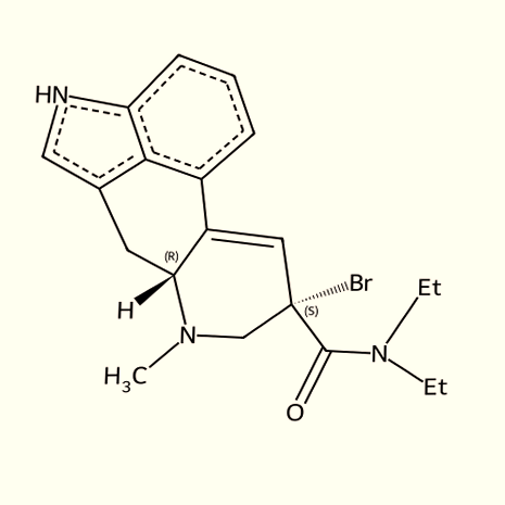 CCN(CC)C(=O)[C@]1(Br)C=C2c3cccc4[nH]cc(c34)C[C@H]2N(C)C1